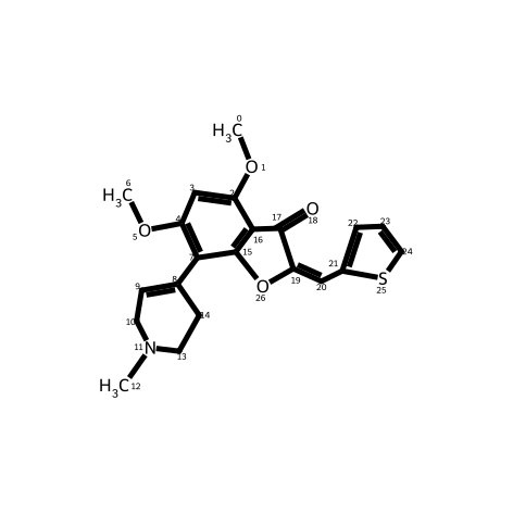 COc1cc(OC)c(C2=CCN(C)CC2)c2c1C(=O)/C(=C\c1cccs1)O2